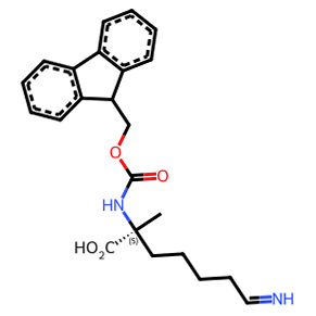 C[C@@](CCCCC=N)(NC(=O)OCC1c2ccccc2-c2ccccc21)C(=O)O